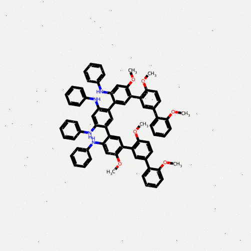 COc1ccccc1-c1ccc(OC)c(-c2cc(-c3cc(-c4cc(-c5cc(-c6ccccc6OC)ccc5OC)c(OC)cc4Nc4ccccc4)c(Nc4ccccc4)cc3Nc3ccccc3)c(Nc3ccccc3)cc2OC)c1